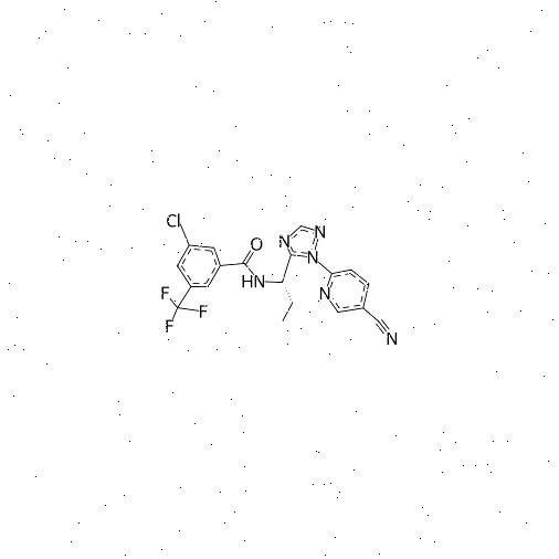 CC[C@H](NC(=O)c1cc(Cl)cc(C(F)(F)F)c1)c1ncnn1-c1ccc(C#N)cn1